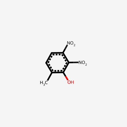 Cc1ccc([N+](=O)[O-])c([N+](=O)[O-])c1O